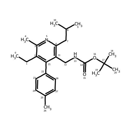 CCc1c(C)nc(CC(C)C)c(CNC(=O)OC(C)(C)C)c1-c1ccc(C)cc1